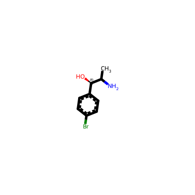 CC(N)[C@H](O)c1ccc(Br)cc1